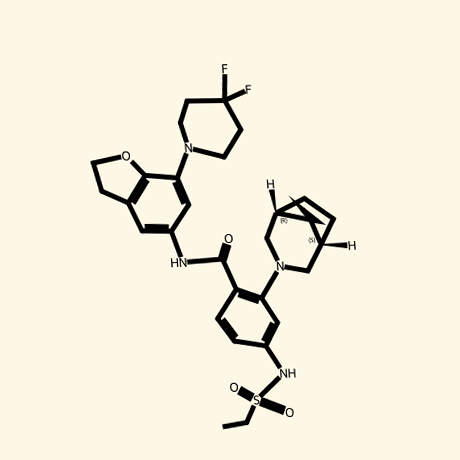 CCS(=O)(=O)Nc1ccc(C(=O)Nc2cc3c(c(N4CCC(F)(F)CC4)c2)OCC3)c(N2C[C@H]3CC[C@@H](C2)C32CC2)c1